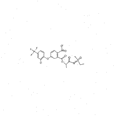 CCS(C)(=O)=NC(=O)C(C)OC(=O)c1cc(Oc2ccc(C(F)(F)F)cc2Cl)ccc1[N+](=O)[O-]